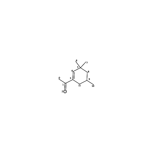 CC(=O)C1=CC(C)(C)CC(C)C1